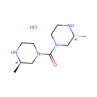 C[C@@H]1CN(C(=O)N2CCN[C@H](C)C2)CCN1.Cl